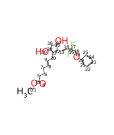 CCOC(=O)CCCC=CC[C@@H]1[C@@H](C=CC(F)(F)COc2ccccc2)[C@H](O)C[C@@H]1O